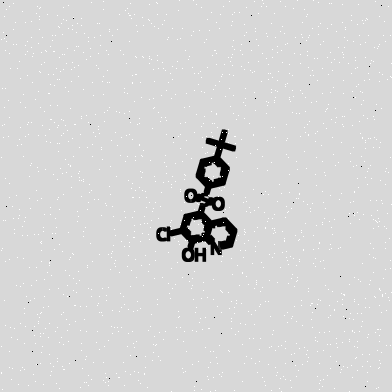 CC(C)(C)c1ccc(S(=O)(=O)c2cc(Cl)c(O)c3ncccc23)cc1